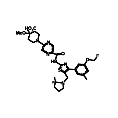 COC1(C(=O)O)CCN(c2cnc(C(=O)Nc3nc(-c4cc(C)cc(OCF)c4)c(CN4CCC[C@H]4C)s3)cn2)CC1